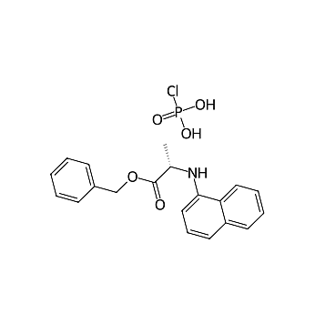 C[C@H](Nc1cccc2ccccc12)C(=O)OCc1ccccc1.O=P(O)(O)Cl